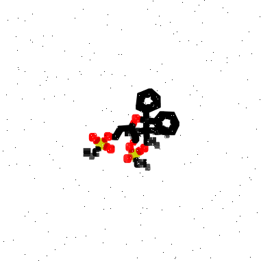 CC(C)(C)[Si](OC(CCOS(C)(=O)=O)COS(C)(=O)=O)(c1ccccc1)c1ccccc1